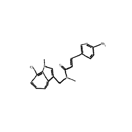 CN(Cc1cn(C)c2c(Cl)cccc12)C(=O)C=Cc1ccc(N)nc1